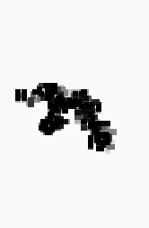 CN(C)CCNC(=O)[C@H](CCC(=O)N[C@@H](CS)C(=O)NCC(=O)OCc1c(F)c(F)c(F)c(F)c1F)NC(=O)OCc1ccccc1Br